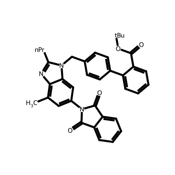 CCCc1nc2c(C)cc(N3C(=O)c4ccccc4C3=O)cc2n1Cc1ccc(-c2ccccc2C(=O)OC(C)(C)C)cc1